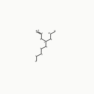 CCCCCC(CC=S)CCC